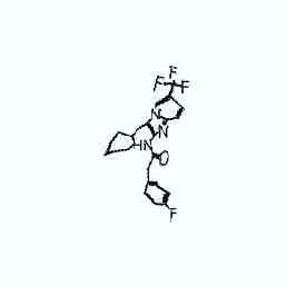 O=C(Cc1ccc(F)cc1)Nc1nc2ccc(C(F)(F)F)cn2c1CC1CCCCC1